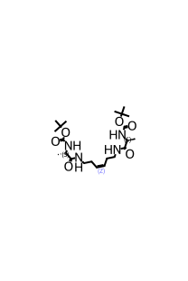 C[C@H](NC(=O)OC(C)(C)C)C(=O)NCC/C=C\CCNC(=O)[C@H](C)NC(=O)OC(C)(C)C